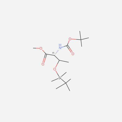 COC(=O)[C@H](NC(=O)OC(C)(C)C)C(C)O[Si](C)(C)C(C)(C)C